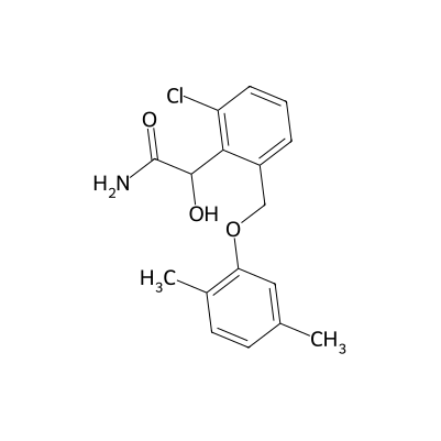 Cc1ccc(C)c(OCc2cccc(Cl)c2C(O)C(N)=O)c1